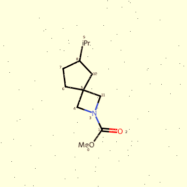 COC(=O)N1CC2(CCC(C(C)C)C2)C1